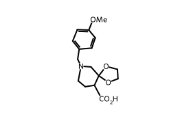 COc1ccc(CN2CCC(C(=O)O)C3(C2)OCCO3)cc1